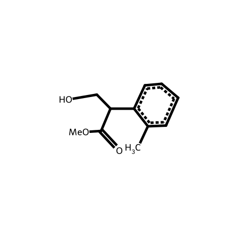 COC(=O)C(CO)c1ccccc1C